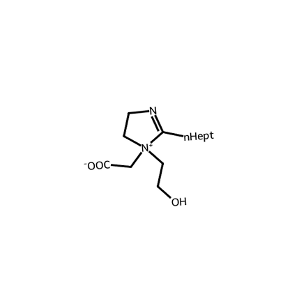 CCCCCCCC1=NCC[N+]1(CCO)CC(=O)[O-]